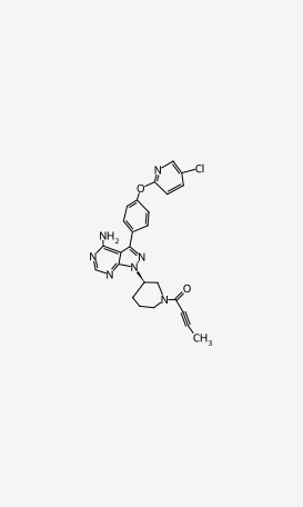 CC#CC(=O)N1CCC[C@@H](n2nc(-c3ccc(Oc4ccc(Cl)cn4)cc3)c3c(N)ncnc32)C1